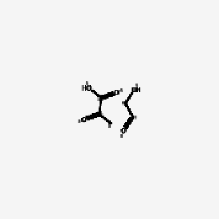 CC(=O)C(=O)O.O=CCO